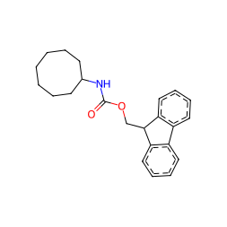 O=C(NC1CCCCCCC1)OCC1c2ccccc2-c2ccccc21